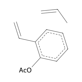 C=CC.C=Cc1ccccc1OC(C)=O